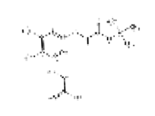 Cc1cc(CNC(=O)OC(C)(C)C)cc(OCC(=O)O)c1C